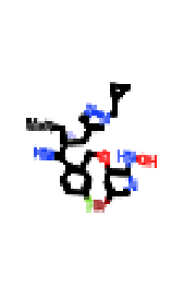 CN/C=C(/Cc1cnn(CC2CC2)c1)C(=N)c1ccc(F)cc1COc1cc(Br)cnc1NO